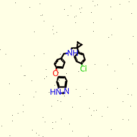 Clc1ccc(C2(CNCc3ccc(Oc4ccc5nc[nH]c5c4)cc3)CC2)cc1